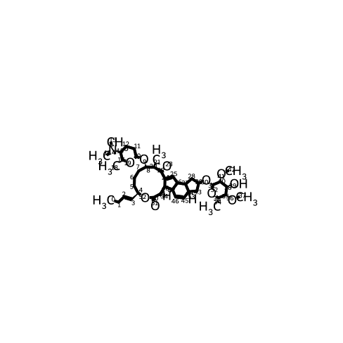 CC/C=C/[C@H]1CCC[C@H](OC2CC[C@H](N(C)C)[C@@H](C)O2)[C@@H](C)C(=O)C2=CC3C4CC(O[C@@H]5O[C@@H](C)[C@H](OC)[C@@H](O)[C@H]5OC)C[C@H]4C=C[C@H]3C2CC(=O)O1